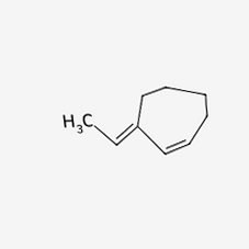 CC=C1C=CCCCC1